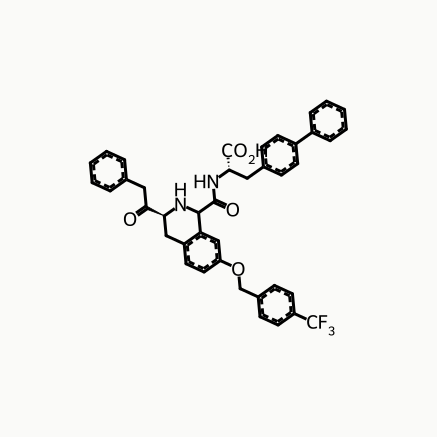 O=C(N[C@@H](Cc1ccc(-c2ccccc2)cc1)C(=O)O)C1N[C@H](C(=O)Cc2ccccc2)Cc2ccc(OCc3ccc(C(F)(F)F)cc3)cc21